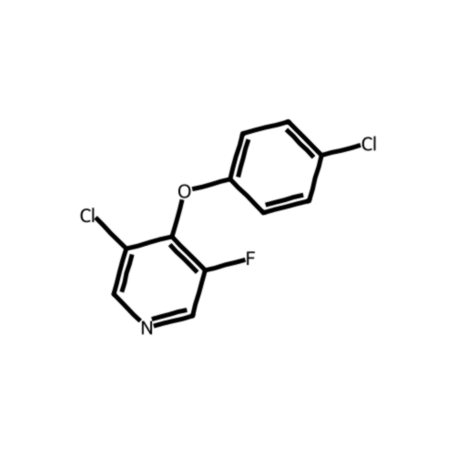 Fc1cncc(Cl)c1Oc1ccc(Cl)cc1